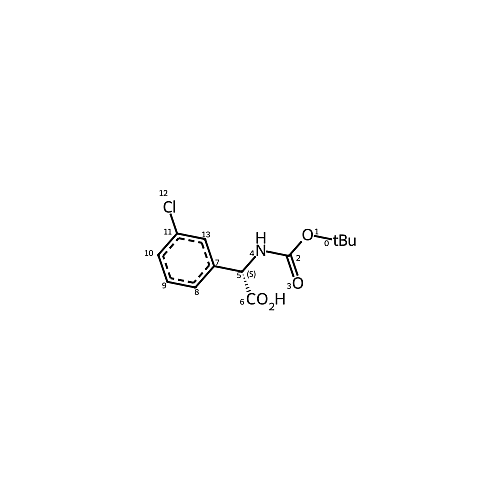 CC(C)(C)OC(=O)N[C@H](C(=O)O)c1cccc(Cl)c1